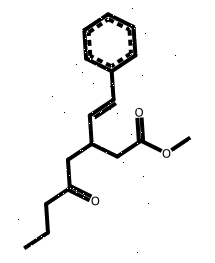 CCCC(=O)CC(/C=C/c1ccccc1)CC(=O)OC